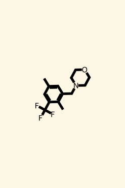 Cc1cc(CN2CCOCC2)c(C)c(C(F)(F)F)c1